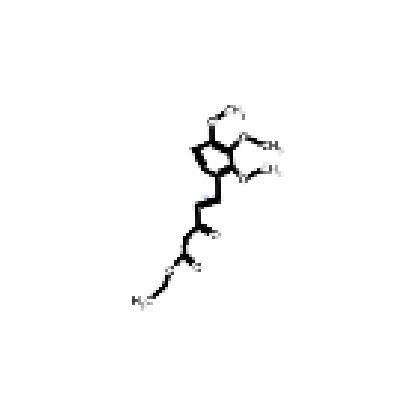 CCOC(=O)CC(=O)/C=C/c1ccc(OC)c(OC)c1OC